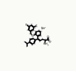 CC(C)c1ccc(C(=CCC(N)C(=O)[O-])c2ccccc2OCc2cc(F)cc(F)c2)cc1.[Na+]